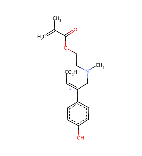 C=C(C)C(=O)OCCN(C)C/C(=C\C(=O)O)c1ccc(O)cc1